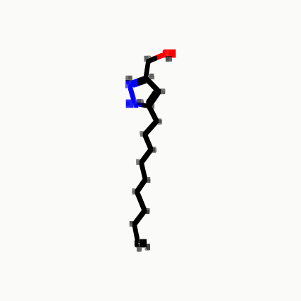 CCCCCCCCCc1cc(CO)n[nH]1